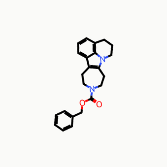 O=C(OCc1ccccc1)N1CCc2c(n3c4c(cccc24)CCC3)CC1